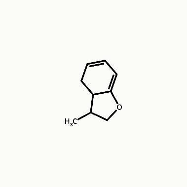 CC1COC2=CC=CCC21